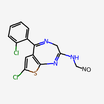 O=NCNC1=Nc2sc(Cl)cc2C(c2ccccc2Cl)=NC1